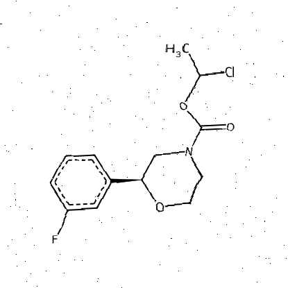 CC(Cl)OC(=O)N1CCO[C@@H](c2cccc(F)c2)C1